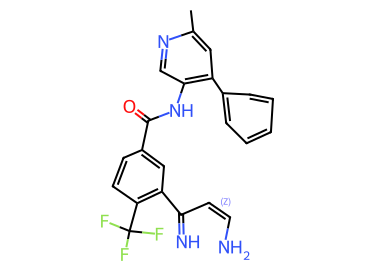 Cc1cc(-c2ccccc2)c(NC(=O)c2ccc(C(F)(F)F)c(C(=N)/C=C\N)c2)cn1